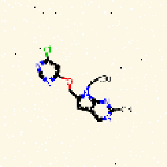 CC(C)(C)Cn1c(COc2cc(Cl)ncn2)cc2cnc(C#N)nc21